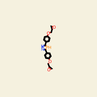 c1cc(-c2nnc(-c3ccc(OCC4CO4)cc3)[pH]2)ccc1OCC1CO1